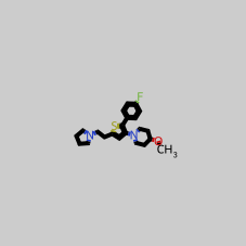 COC1CCN(c2cc(CCN3CCCC3)sc2-c2ccc(F)cc2)CC1